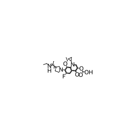 CCN[C@@H](C)[C@@H]1CCN(c2c(F)cc3c(=O)c(OC(=O)O)cn(C4CC4)c3c2OCC)C1